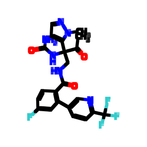 CC(=O)C(CNC(=O)c1ccc(F)cc1-c1ccc(C(F)(F)F)nc1)(NC(N)=O)c1ccnn1C